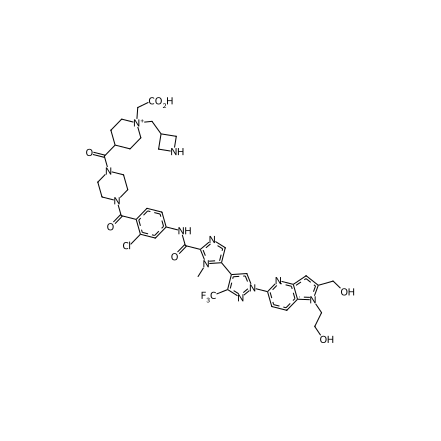 Cn1c(-c2cn(-c3ccc4c(cc(CO)n4CCO)n3)nc2C(F)(F)F)cnc1C(=O)Nc1ccc(C(=O)N2CCN(C(=O)C3CC[N+](CC(=O)O)(CC4CNC4)CC3)CC2)c(Cl)c1